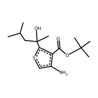 CC(C)CC(C)(O)c1scc(N)c1C(=O)OC(C)(C)C